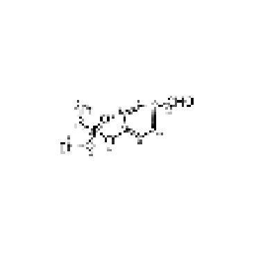 CCCSP(=O)(OCC)Oc1ccc(C=O)cc1